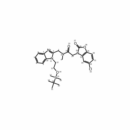 CN(Cc1nc2ccccc2n1CCO[Si](C)(C)C(C)(C)C)C(=O)Cn1c(=O)oc2ccc(Cl)cc21